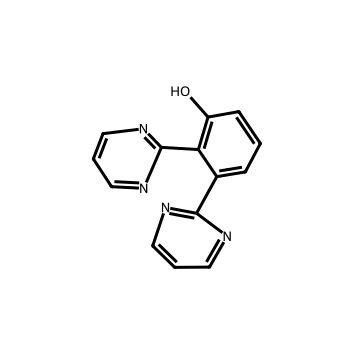 Oc1cccc(-c2ncccn2)c1-c1ncccn1